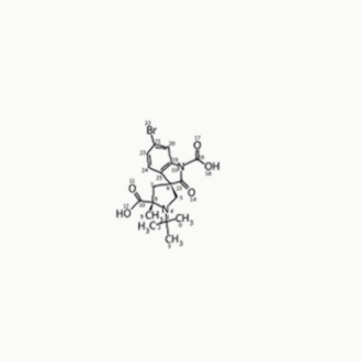 CC(C)(C)N1C[C@]2(C[C@@]1(C)C(=O)O)C(=O)N(C(=O)O)c1cc(Br)ccc12